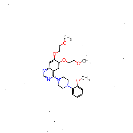 COCCOc1cc2ncnc(N3CCN(c4ccccc4OC)CC3)c2cc1OCCOC